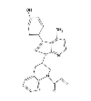 C=CC(=O)N1CC(n2nc(-c3ccc(O)cc3)c3c(N)ncnc32)Cc2ccccc21